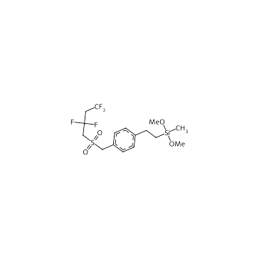 CO[Si](C)(CCc1ccc(CS(=O)(=O)CC(F)(F)CC(F)(F)F)cc1)OC